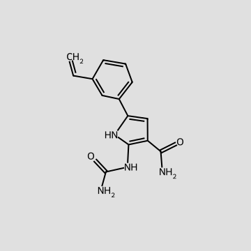 C=Cc1cccc(-c2cc(C(N)=O)c(NC(N)=O)[nH]2)c1